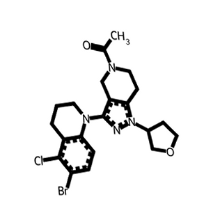 CC(=O)N1CCc2c(c(N3CCCc4c3ccc(Br)c4Cl)nn2C2CCOC2)C1